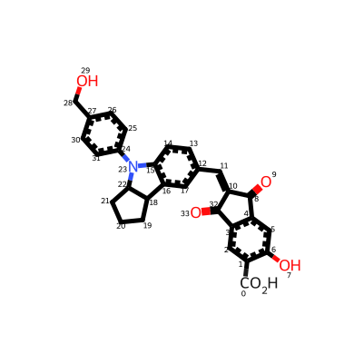 O=C(O)c1cc2c(cc1O)C(=O)C(=Cc1ccc3c(c1)C1CCCC1N3c1ccc(CO)cc1)C2=O